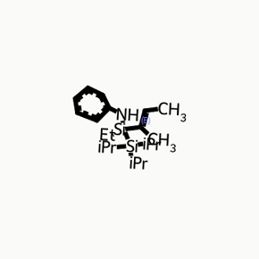 C/C=C(\C)[Si](CC)(Nc1ccccc1)[Si](C(C)C)(C(C)C)C(C)C